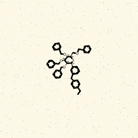 CCc1ccc(Cc2cccc([C@@H]3S[C@H](COCc4ccccc4)[C@@H](OCc4ccccc4)[C@H](OCc4ccccc4)[C@H]3OCc3ccccc3)c2)cc1